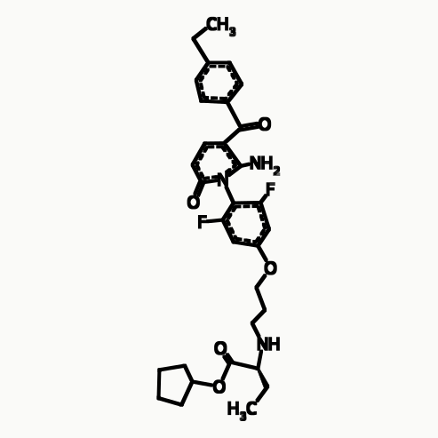 CCc1ccc(C(=O)c2ccc(=O)n(-c3c(F)cc(OCCCN[C@@H](CC)C(=O)OC4CCCC4)cc3F)c2N)cc1